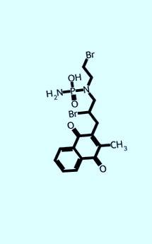 CC1=C(CC(Br)CN(CCBr)P(N)(=O)O)C(=O)c2ccccc2C1=O